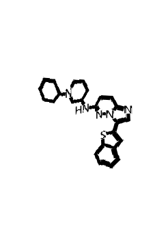 c1ccc2sc(-c3cnc4ccc(NC5CCCN(C6CCCCC6)C5)nn34)cc2c1